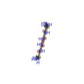 N=C1NC2CSC(CCCCC(=O)NCCCCCC(=O)NCCOCCNC(=O)CCCCCNC(=O)CCCC[C@@H]3SCC4NC(=N)N[C@@H]43)[C@H]2N1